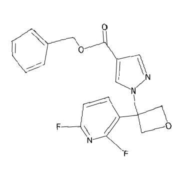 O=C(OCc1ccccc1)c1cnn(C2(c3ccc(F)nc3F)COC2)c1